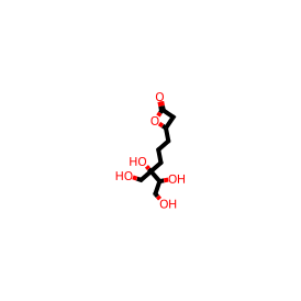 O=C1CC(CCCC(O)(CO)C(O)CO)O1